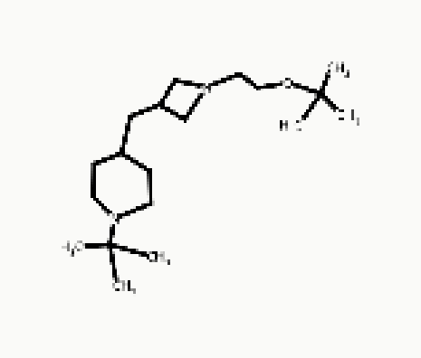 CC(C)(C)OCCN1CC(CC2CCN(C(C)(C)C)CC2)C1